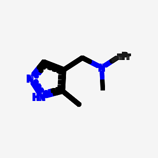 CCCN(C)Cc1cn[nH]c1C